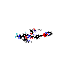 COC(=O)N[C@H](C(=O)N[C@@H](Cc1ccc(C#Cc2ccc(N3C4CCC3CN(C3COC3)C4)nc2)cc1)[C@@H](O)CN(Cc1c(F)cc(-c2cnn(C(F)F)c2)cc1F)NC(=O)[C@@H](NC(=O)O)C(C)(C)C(F)(F)F)C(C)(C)C(F)(F)F